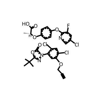 C#CCOc1cc(-n2nc(C(C)(C)C)oc2=O)c(Cl)cc1Cl.C[C@@H](Oc1ccc(Oc2ncc(Cl)cc2F)cc1)C(=O)O